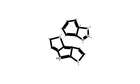 C1=C2[SiH]=c3sccc3=C2SC1.c1ccc2snnc2c1